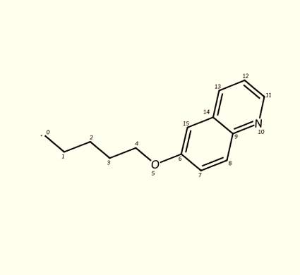 [CH2]CCCCOc1ccc2ncccc2c1